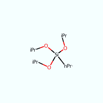 [CH2]C[CH][Si](OC(C)C)(OC(C)C)OC(C)C